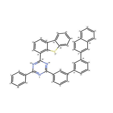 c1ccc(-c2nc(-c3cccc(-c4cccc(-c5ccc6ccccc6c5)c4)c3)nc(-c3cccc4c3sc3ccccc34)n2)cc1